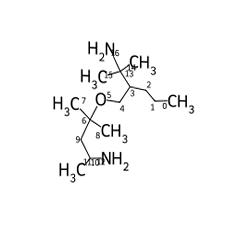 CCCC(COC(C)(C)CC(C)N)C(C)(C)N